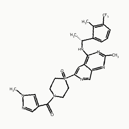 Cc1nc(N[C@H](C)c2cccc(C(F)(F)F)c2C)c2cc(P3(=O)CCN(C(=O)c4cnn(C)c4)CC3)ncc2n1